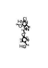 COC1NC(Cl)=Nc2cnn(CCOc3ccc(CO)nc3)c21